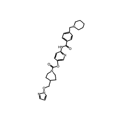 O=C(Nc1ccc(OC(=O)N2CCC(COn3cccn3)CC2)cn1)c1ccc(CN2CCCCC2)cc1